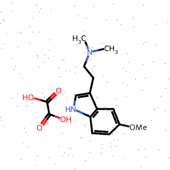 COc1ccc2[nH]cc(CCN(C)C)c2c1.O=C(O)C(=O)O